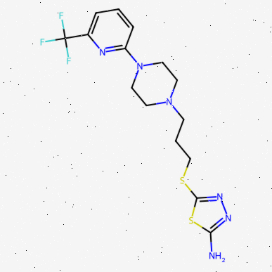 Nc1nnc(SCCCN2CCN(c3cccc(C(F)(F)F)n3)CC2)s1